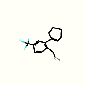 CCc1ccc(C(F)(F)F)cc1C1=CCCCC1